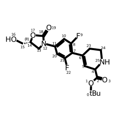 CC(C)(C)OC(=O)C1C=C(c2c(F)cc(N3C[C@H](CO)OC3=O)cc2F)CCN1